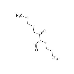 CCCCCC(=O)C([C]=O)CCCC